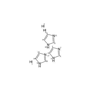 I.I.I.c1c[nH]cn1.c1c[nH]cn1.c1c[nH]cn1